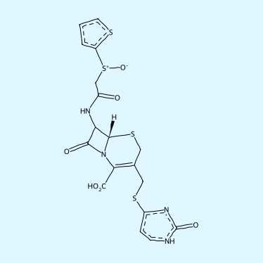 O=C(C[S+]([O-])c1cccs1)NC1C(=O)N2C(C(=O)O)=C(CSc3cc[nH]c(=O)n3)CS[C@@H]12